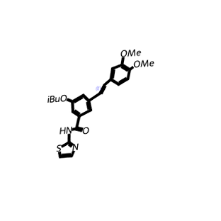 COc1ccc(/C=C/c2cc(OCC(C)C)cc(C(=O)Nc3nccs3)c2)cc1OC